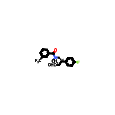 CN(C[C@@H](CC=O)c1ccc(F)cc1)C(=O)c1cccc(C(F)(F)F)c1